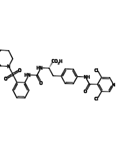 O=C(Nc1ccccc1S(=O)(=O)N1CCCCC1)N[C@@H](Cc1ccc(NC(=O)c2c(Cl)cncc2Cl)cc1)C(=O)O